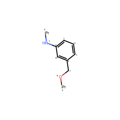 CC(C)Nc1cccc(COC(C)C)c1